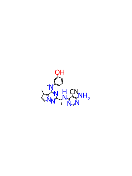 Cc1ccn2nc([C@H](C)Nc3ncnc(N)c3C#N)nc(N(C)c3cccc(O)c3)c12